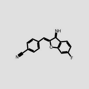 N#Cc1ccc(/C=C2\Oc3cc(F)ccc3C2=N)cc1